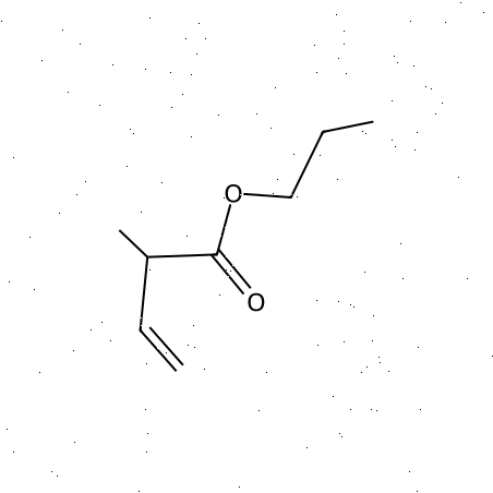 C=CC(C)C(=O)OCCC